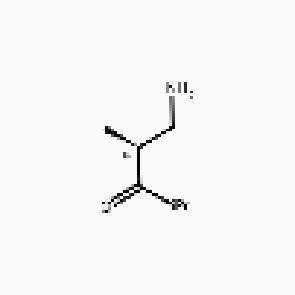 CC(C)C(=O)[C@@H](C)CN